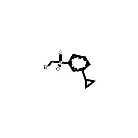 O=S(=O)(CBr)c1cccc(C2CC2)c1